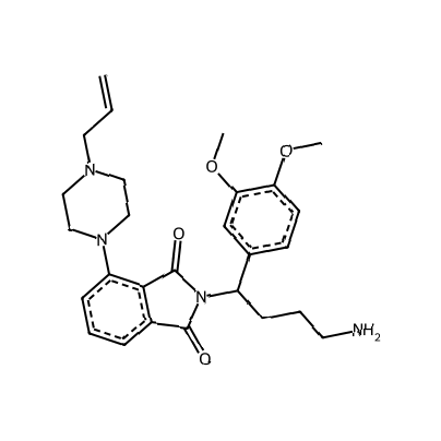 C=CCN1CCN(c2cccc3c2C(=O)N(C(CCCN)c2ccc(OC)c(OC)c2)C3=O)CC1